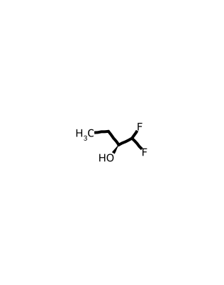 CC[C@H](O)C(F)F